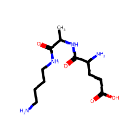 CC(NC(=O)C(N)CCC(=O)O)C(=O)NCCCCN